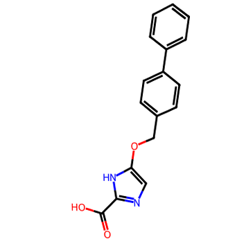 O=C(O)c1ncc(OCc2ccc(-c3ccccc3)cc2)[nH]1